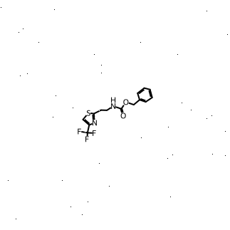 O=C(NCCc1nc(C(F)(F)F)cs1)OCc1ccccc1